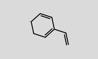 C=CC1=CC[CH]C=C1